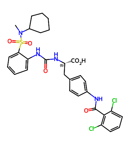 CN(C1CCCCC1)S(=O)(=O)c1ccccc1NC(=O)N[C@@H](Cc1ccc(NC(=O)c2c(Cl)cccc2Cl)cc1)C(=O)O